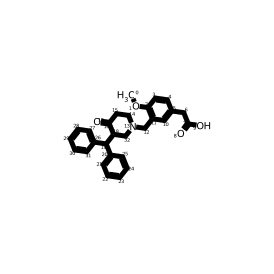 COc1ccc(CC(=O)O)cc1CN1CCC(=O)C(C(c2ccccc2)c2ccccc2)C1